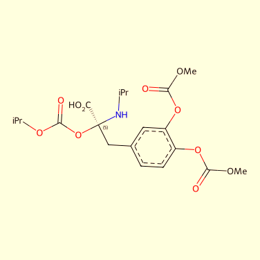 COC(=O)Oc1ccc(C[C@](NC(C)C)(OC(=O)OC(C)C)C(=O)O)cc1OC(=O)OC